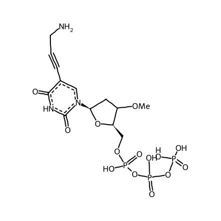 COC1C[C@H](n2cc(C#CCN)c(=O)[nH]c2=O)O[C@@H]1COP(=O)(O)OP(=O)(O)OP(=O)(O)O